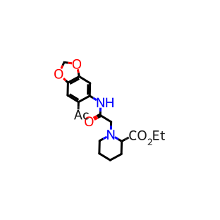 CCOC(=O)C1CCCCN1CC(=O)Nc1cc2c(cc1C(C)=O)OCO2